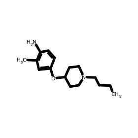 CCCCN1CCC(Oc2ccc(N)c(C)c2)CC1